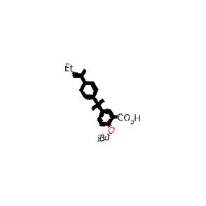 CCC=C(C)C1C=CC(C(C)(C)c2ccc(OC(C)CC)c(C(=O)O)c2)=CC1